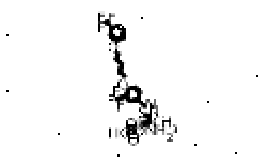 C[C@](N)(COP(=O)(O)O)c1nnc(-c2ccc(OCCCCCOc3cccc(C(F)(F)F)c3)c(C(F)(F)F)c2)s1